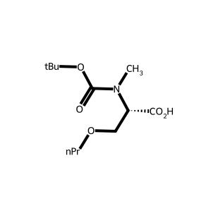 CCCOC[C@@H](C(=O)O)N(C)C(=O)OC(C)(C)C